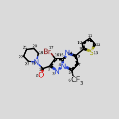 O=C(c1nn2c(C(F)(F)F)cc(-c3cccs3)nc2c1Br)N1CCCCC1